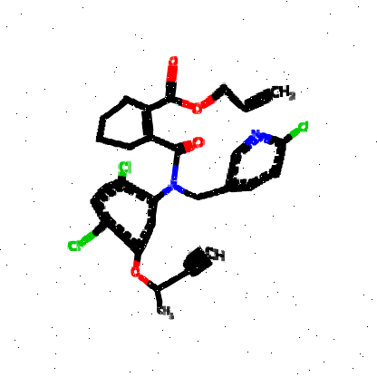 C#CC(C)Oc1cc(N(Cc2ccc(Cl)nc2)C(=O)C2=C(C(=O)OCC=C)CCCC2)c(Cl)cc1Cl